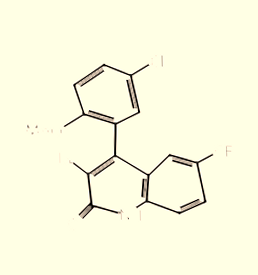 COc1ccc(Cl)cc1-c1c(S)c(=O)[nH]c2ccc(C(F)(F)F)cc12